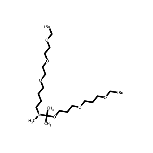 CN(CCCCOCCOCCOCC(C)(C)C)C(C)(C)OCCCOCCCOCC(C)(C)C